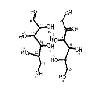 O=C(CO)C(O)C(O)C(O)CO.O=CC(O)C(O)C(O)C(O)CO